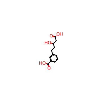 O=C(O)CC(O)CCc1cccc(C(=O)O)c1